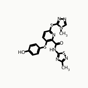 Cc1nsc(NC(=O)c2nc(Sc3nncn3C)ccc2Sc2ccc(O)cc2)n1